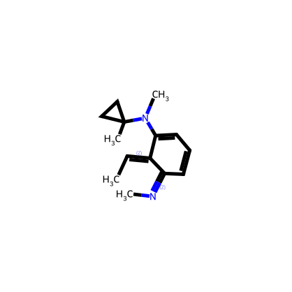 C/C=C1/C(N(C)C2(C)CC2)=CC=C/C1=N/C